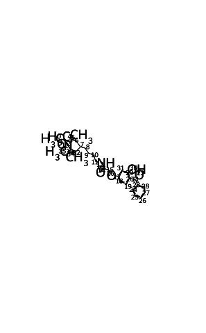 CON1C(C)(C)CC(CCCCNC(=O)COc2ccc(C(=O)c3ccccc3)c(O)c2)CC1(C)C